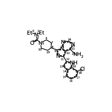 CCN(CC)C(=O)N1CCC(c2nc(-c3cc4cccc(Cl)c4[nH]3)c3c(N)ncnn23)CC1